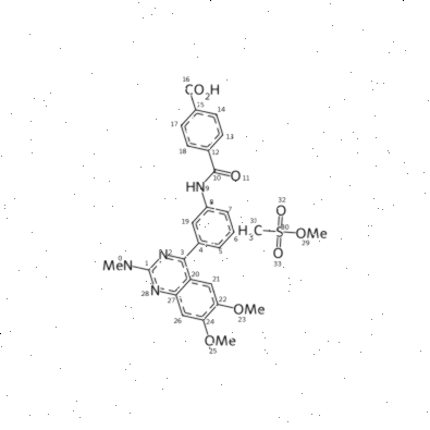 CNc1nc(-c2cccc(NC(=O)c3ccc(C(=O)O)cc3)c2)c2cc(OC)c(OC)cc2n1.COS(C)(=O)=O